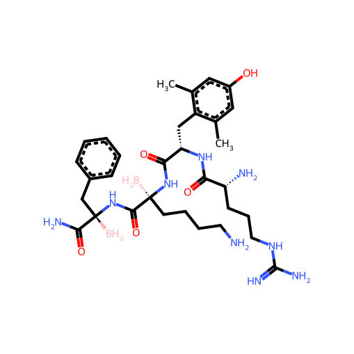 B[C@@](Cc1ccccc1)(NC(=O)[C@](B)(CCCCN)NC(=O)[C@H](Cc1c(C)cc(O)cc1C)NC(=O)[C@H](N)CCCNC(=N)N)C(N)=O